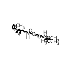 CN1CCC[C@H]1c1cncc(CCCNC(=O)COCCOCCNC(=O)OC(C)(C)C)c1